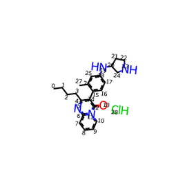 CCCCc1nc2ccccn2c(=O)c1-c1ccc(NC2CCNC2)cc1C.Cl